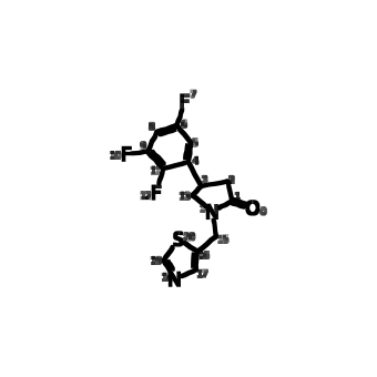 O=C1CC(c2cc(F)cc(F)c2F)CN1Cc1cncs1